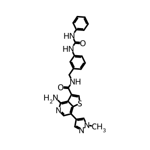 Cn1cc(-c2cnc(N)c3c(C(=O)NCc4cccc(NC(=O)Nc5ccccc5)c4)csc23)cn1